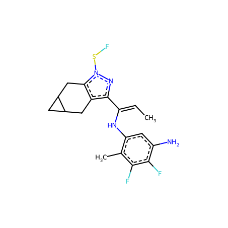 C/C=C(\Nc1cc(N)c(F)c(F)c1C)c1nn(SF)c2c1CC1CC1C2